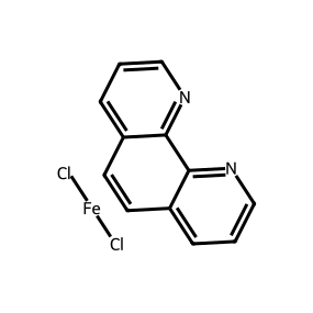 [Cl][Fe][Cl].c1cnc2c(c1)ccc1cccnc12